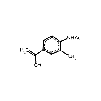 C=C(O)c1ccc(NC(C)=O)c(C)c1